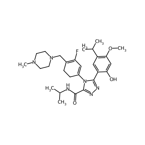 COc1cc(O)c(-c2nnc(C(=O)NC(C)C)n2C2=CC(F)=C(CN3CCN(C)CC3)CC2)cc1C(C)C